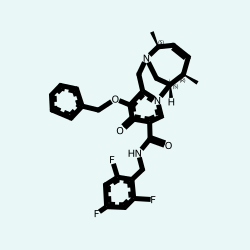 C[C@@H]1C=C[C@H](C)N2Cc3c(OCc4ccccc4)c(=O)c(C(=O)NCc4c(F)cc(F)cc4F)cn3[C@@H]1C2